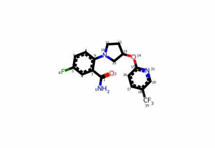 NC(=O)c1cc(F)ccc1N1CCC(Oc2ccc(C(F)(F)F)cn2)C1